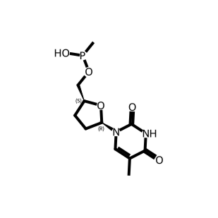 Cc1cn([C@H]2CC[C@@H](COP(C)O)O2)c(=O)[nH]c1=O